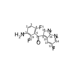 Nc1ccc(F)c(C(=O)C2=c3cc(F)cnc3=NC2)c1F